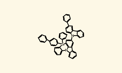 c1ccc(-c2ccc([Si]3(c4ccccc4)c4ccccc4-n4c5ccccc5c5cc(-n6c7ccccc7c7cc(-c8ccccc8)ccc76)cc3c54)cc2)cc1